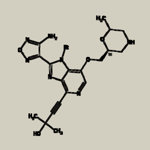 CCn1c(-c2nonc2N)nc2c(C#CC(C)(C)O)ncc(OC[C@@H]3CNCC(C)O3)c21